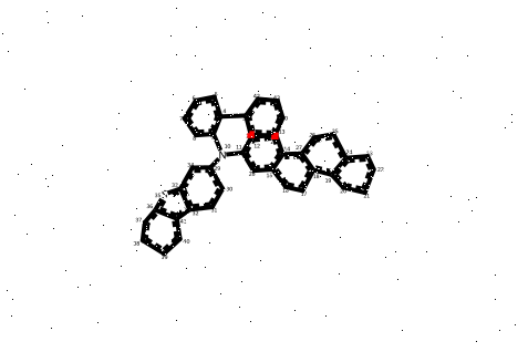 c1ccc(-c2ccccc2N(c2ccc3c(ccc4c5ccccc5ccc34)c2)c2ccc3c(c2)sc2ccccc23)cc1